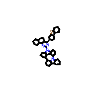 c1ccc2c(c1)ccc1c(-c3ccc4c(c3)sc3ccccc34)nc(-n3c4cccc5c6cccc7c8ccccc8n(c8cccc3c8c54)c67)nc12